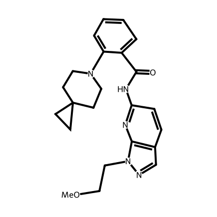 COCCn1ncc2ccc(NC(=O)c3ccccc3N3CCC4(CC3)CC4)nc21